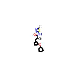 CCc1nnc(NC(=O)/C(C#N)=C/c2cccc(Oc3ccccc3)c2)s1